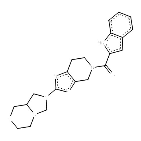 O=C(c1cc2ccccc2[nH]1)N1CCc2nc(N3CC4COCCN4C3)sc2C1